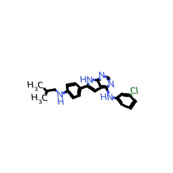 CC(C)CNc1ccc(-c2cc3c(Nc4cccc(Cl)c4)ncnc3[nH]2)cc1